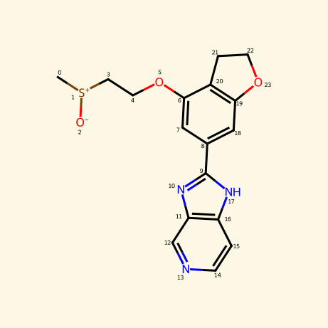 C[S+]([O-])CCOc1cc(-c2nc3cnccc3[nH]2)cc2c1CCO2